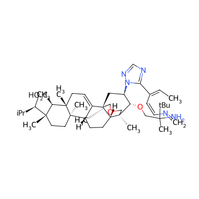 C=N/C=C\C(=C/C)c1ncnn1[C@@H]1C[C@]23C4=CC[C@@]5(C)[C@H](C(=O)O)[C@@](C)([C@H](C)C(C)C)CC[C@]5(C)[C@H]4CC[C@H]2[C@@](C)(CO[C@H]3C)[C@H]1OCC(C)(N)C(C)(C)C